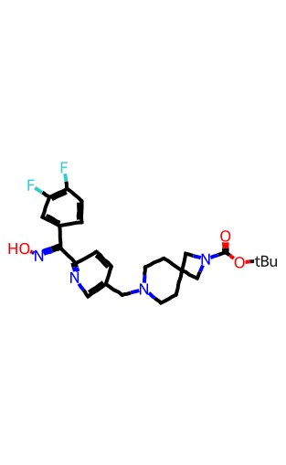 CC(C)(C)OC(=O)N1CC2(CCN(Cc3ccc(/C(=N/O)c4ccc(F)c(F)c4)nc3)CC2)C1